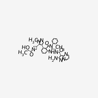 CC(O)C(=O)N1CC(c2c(-c3cccc4nc(C(C)NC(=O)c5c(N)nn6cccnc56)n(-c5ccccc5)c(=O)c34)cnn2C)C1